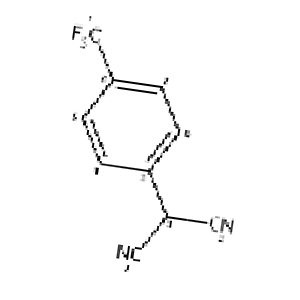 N#CC(C#N)c1ccc(C(F)(F)F)cc1